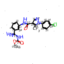 CC(C)(C)OC(=O)NC(=N)c1cccc(NC(=O)c2cnn(-c3ccc(Cl)cc3)c2C(F)(F)F)c1